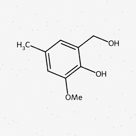 COc1cc(C)cc(CO)c1O